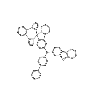 c1ccc(-c2ccc(N(c3ccc4c(c3)-c3ccccc3C43c4ccccc4-c4ccccc4-c4ccccc43)c3ccc4c(c3)oc3ccccc34)cc2)cc1